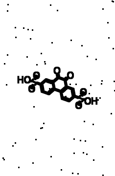 O=C1C(=O)c2cc(S(=O)(=O)O)ccc2-c2ccc(S(=O)(=O)O)cc21